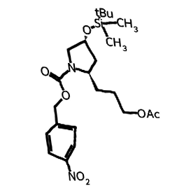 CC(=O)OCCC[C@@H]1C[C@@H](O[Si](C)(C)C(C)(C)C)CN1C(=O)OCc1ccc([N+](=O)[O-])cc1